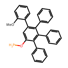 COc1ccccc1-c1cc(OP)c(-c2ccccc2)c(-c2ccccc2)c1-c1ccccc1